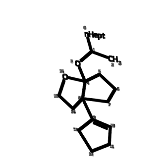 CCCCCCCC(C)OC12CCCC1(C1=CCCC1)CCO2